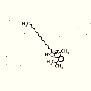 CCCCCCCCCCCCCCC(S)C(=O)Nc1c(C(C)C)cccc1C(C)C